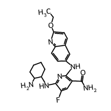 CCOc1ccc2cc(Nc3nc(NC4CCCCC4N)c(F)cc3C(N)=O)ccc2n1